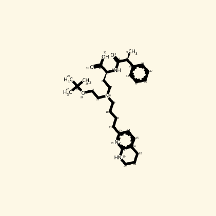 C[C@H](C(=O)N[C@@H](CCN(CCCCc1ccc2c(n1)NCCC2)CCOC(C)(C)C)C(=O)O)c1ccccc1